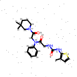 Cc1ccsc1NC(=O)NCC(=O)N(CC(=O)N1CCCC(C)(C)C1)c1ccccc1